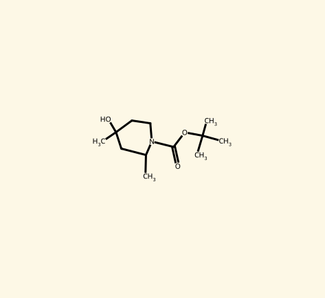 CC1CC(C)(O)CCN1C(=O)OC(C)(C)C